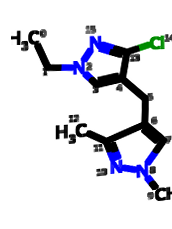 CCn1cc(Cc2cn(C)nc2C)c(Cl)n1